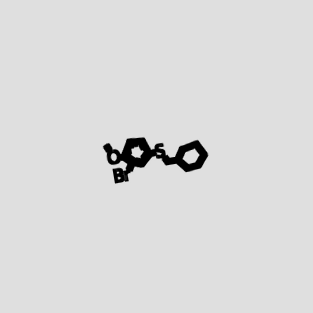 COc1ccc(SCC2CCCCC2)cc1Br